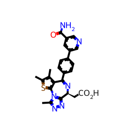 Cc1sc2c(c1C)C(c1ccc(-c3cncc(C(N)=O)c3)cc1)=N[C@@H](CC(=O)O)c1nnc(C)n1-2